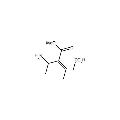 CC(=O)O.CC=C(C(=O)OC)C(C)N